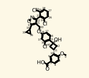 COc1ccc(C(=O)O)cc1[C@H]1C[C@](O)(c2ccc(OCc3c(-c4c(Cl)cccc4Cl)noc3C3CC3)cc2Cl)C1